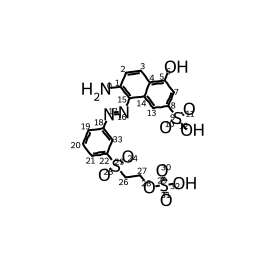 Nc1ccc2c(O)cc(S(=O)(=O)O)cc2c1N=Nc1cccc(S(=O)(=O)CCOS(=O)(=O)O)c1